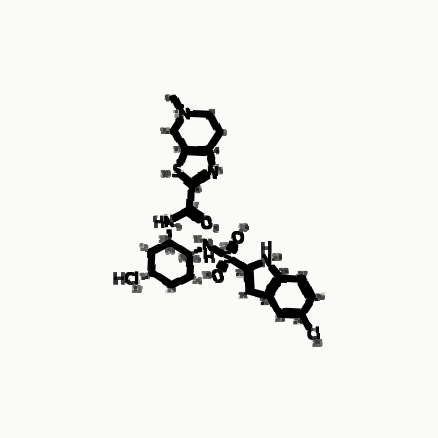 CN1CCc2nc(C(=O)N[C@H]3CCCC[C@H]3NS(=O)(=O)c3cc4cc(Cl)ccc4[nH]3)sc2C1.Cl